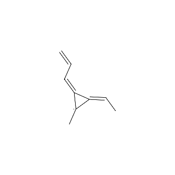 C=CC=C1[C](C)C1=CC